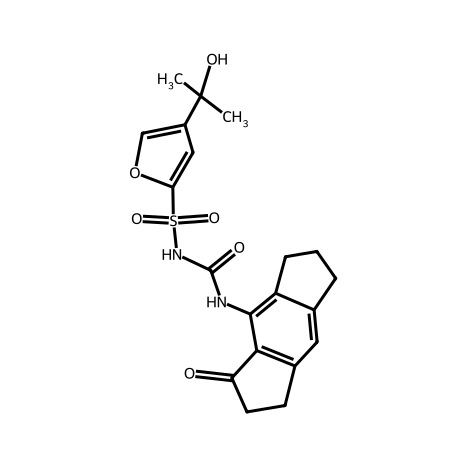 CC(C)(O)c1coc(S(=O)(=O)NC(=O)Nc2c3c(cc4c2C(=O)CC4)CCC3)c1